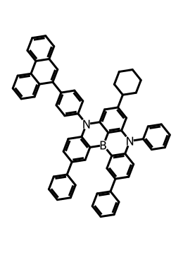 c1ccc(-c2ccc3c(c2)B2c4cc(-c5ccccc5)ccc4N(c4ccc(-c5cc6ccccc6c6ccccc56)cc4)c4cc(C5CCCCC5)cc(c42)N3c2ccccc2)cc1